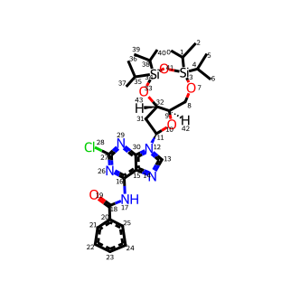 CC(C)[Si]1(C(C)C)OC[C@H]2O[C@@H](n3cnc4c(NC(=O)c5ccccc5)nc(Cl)nc43)C[C@@H]2O[Si](C(C)C)(C(C)C)O1